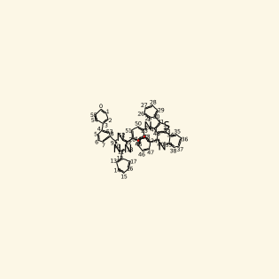 c1ccc(-c2cccc(-c3nc(-c4ccccc4)nc(-c4ccc(-n5c6ccccc6c6sc7c8ccccc8nc(-c8ccccc8)c7c65)cc4)n3)c2)cc1